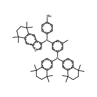 Cc1cc(N(c2ccc3c(c2)C(C)(C)CCC3(C)C)c2ccc3c(c2)C(C)(C)CCC3(C)C)cc(N(c2ccc(C(C)(C)C)cc2)c2csc3cc4c(cc23)C(C)(C)CCC4(C)C)c1